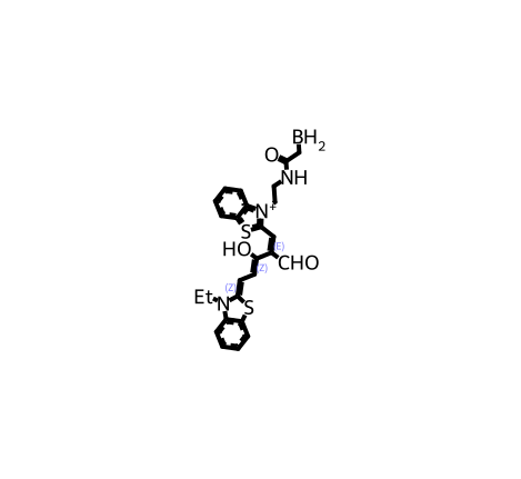 BCC(=O)NCC[n+]1c(\C=C(C=O)/C(O)=C/C=C2\Sc3ccccc3N2CC)sc2ccccc21